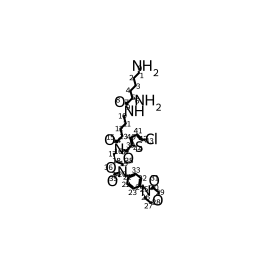 NCCCC[C@H](N)C(=O)NCCCCC(=O)N(C[C@H]1CN(c2ccc(N3CCOCC3=O)cc2)C(=O)O1)C(=O)c1ccc(Cl)s1